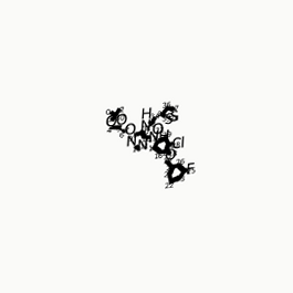 CC1(C)OC[C@H](COc2ncnc(Nc3ccc(OCc4cccc(F)c4)c(Cl)c3)c2NC(=O)C[C@@H]2CCSS2)O1